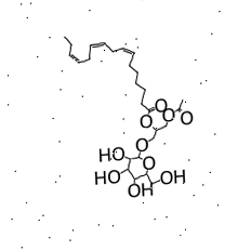 CC/C=C\C/C=C\C/C=C\CCCCCC(=O)OC(COC(C)=O)COC1OC(CO)C(O)C(O)C1O